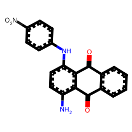 Nc1ccc(Nc2ccc([N+](=O)[O-])cc2)c2c1C(=O)c1ccccc1C2=O